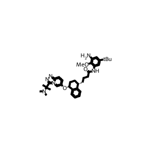 COc1c(N)cc(C(C)(C)C)cc1NC(=O)CCC[C@H]1CC[C@@H](Oc2ccc3nnc(C(C)(C)N(C)C)n3c2)c2ccccc21